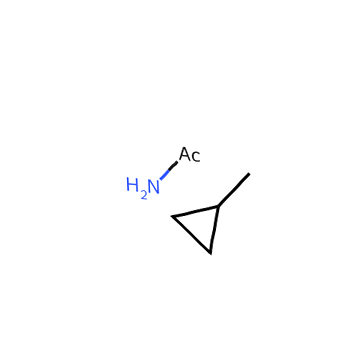 CC(N)=O.CC1CC1